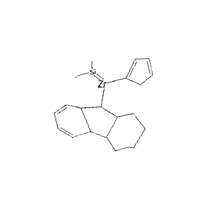 C[Si](C)=[Zr]([C]1=CC=CC1)[CH]1C2C=CC=CC2C2CCCCC21